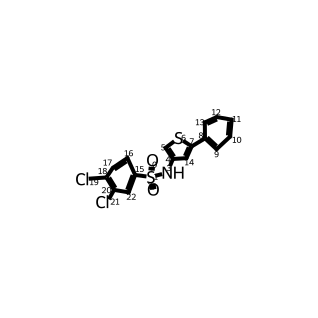 O=S(=O)(Nc1csc(-c2ccccc2)c1)c1ccc(Cl)c(Cl)c1